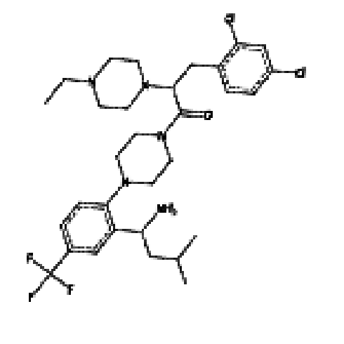 CCN1CCN(C(Cc2ccc(Cl)cc2Cl)C(=O)N2CCN(c3ccc(C(F)(F)F)cc3C(N)CC(C)C)CC2)CC1